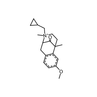 COc1ccc2c(c1)C1(C)CC[N+](C)(CC3CC3)C(C2)C1=O